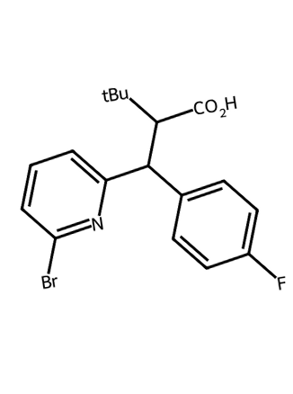 CC(C)(C)C(C(=O)O)C(c1ccc(F)cc1)c1cccc(Br)n1